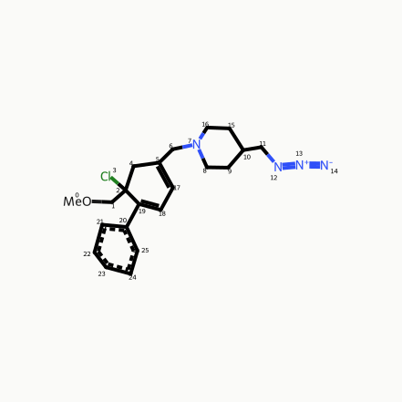 COCC1(Cl)CC(CN2CCC(CN=[N+]=[N-])CC2)=CC=C1c1ccccc1